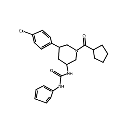 CCc1ccc(C2CC(NC(=O)Nc3ccccc3)CN(C(=O)C3CCCC3)C2)cc1